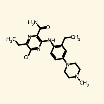 CCc1cc(N2CCN(C)CC2)ccc1Nc1nc(Cl)c(CC)nc1C(N)=O